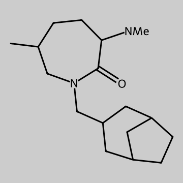 CNC1CCC(C)CN(CC2CC3CCC(C3)C2)C1=O